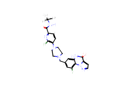 [2H]C([2H])([2H])NC(=O)c1ccc(N2CCN(Cc3cc(F)c4c(c3)[nH]c(=O)c3ccnn34)CC2)c(F)n1